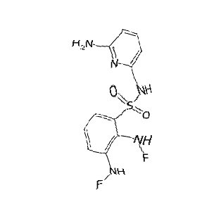 Nc1cccc(NS(=O)(=O)c2cccc(NF)c2NF)n1